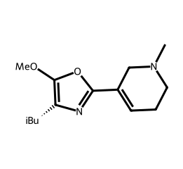 CC[C@@H](C)c1nc(C2=CCCN(C)C2)oc1OC